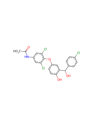 O=C(O)C(=O)Nc1cc(Cl)c(Oc2ccc(O)c(C(O)c3ccc(Cl)cc3)c2)c(Cl)c1